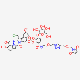 COc1ccc2c(OS(=O)(=O)Oc3cc(C(=O)N(C)CCOCCn4cc(CCOCCN5C(=O)C=CC5=O)nn4)ccc3O[C@@H]3O[C@H](CO)[C@H](O)[C@H](O)[C@H]3O)cc3c(c2c1)[C@H](CCl)CN3C(=O)c1cc2ccc(O)c(C(C)=O)c2[nH]1